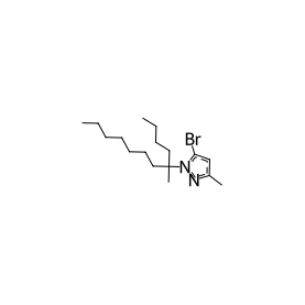 CCCCCCCC(C)(CCCC)n1nc(C)cc1Br